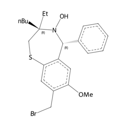 CCCC[C@]1(CC)CSc2cc(CBr)c(OC)cc2[C@@H](c2ccccc2)N1O